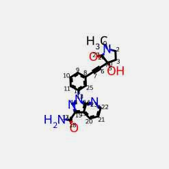 CN1CC[C@@](O)(C#Cc2cccc(-n3nc(C(N)=O)c4cccnc43)c2)C1=O